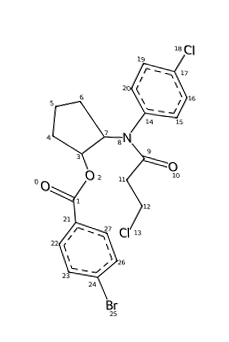 O=C(OC1CCCC1N(C(=O)CCCl)c1ccc(Cl)cc1)c1ccc(Br)cc1